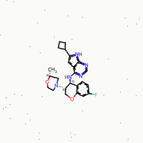 C[C@@H]1CN([C@H]2COc3cc(F)ccc3[C@@H]2Nc2ncnc3[nH]c(C4CCC4)cc23)CCO1